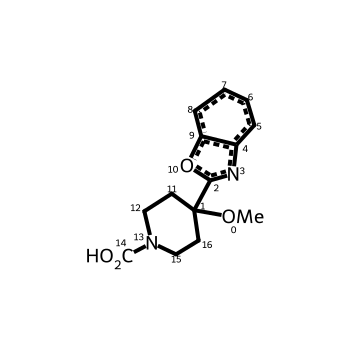 COC1(c2nc3ccccc3o2)CCN(C(=O)O)CC1